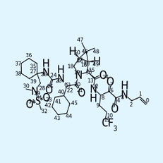 C=CCNC(=O)C(=O)C(CCC(F)(F)F)NC(=O)[C@@H]1[C@@H]2[C@H](CN1C(=O)[C@@H](NC(=O)NC1(CN(C)S(C)(=O)=O)CCCCC1)C1CCCCC1)C2(C)C